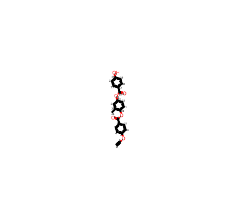 C#COc1ccc(C(=O)Oc2ccc(OC(=O)c3ccc(O)cc3)cc2C)cc1